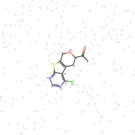 CC(=O)C1Cc2c(sc3ncnc(Cl)c23)CO1